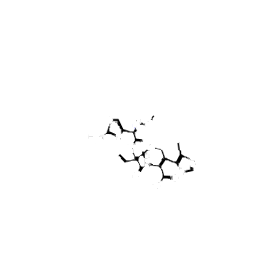 C=CC1(NC(=O)/C(=N\OC)c2csc(N)n2)C(=O)N2C(C(=O)O)=C(c3scnc3C)CS[C@H]21